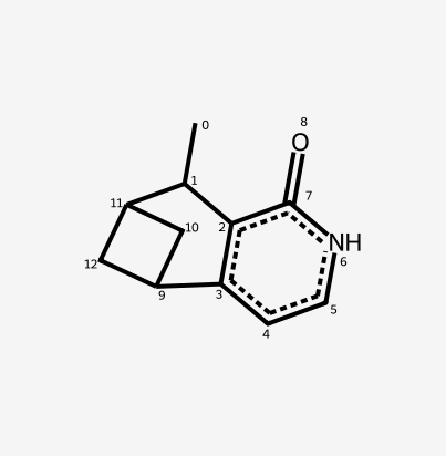 CC1c2c(cc[nH]c2=O)C2CC1C2